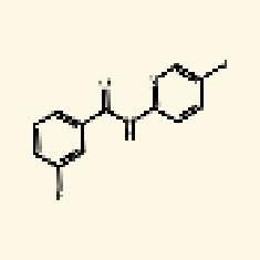 O=C(Nc1ccc(I)cn1)c1cccc(F)c1